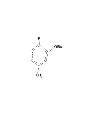 Cc1ccc(F)c(OCC(C)C)c1